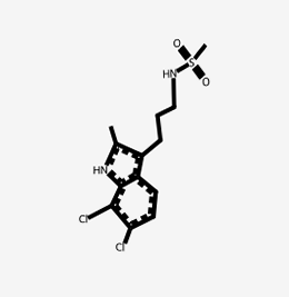 Cc1[nH]c2c(Cl)c(Cl)ccc2c1CCCNS(C)(=O)=O